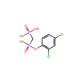 O=P(O)(S)CP(=O)(S)Oc1ccc(Cl)cc1Cl